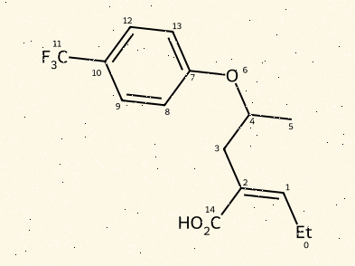 CCC=C(CC(C)Oc1ccc(C(F)(F)F)cc1)C(=O)O